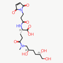 CN(C[C@H](O)CC[C@H](O)CO)C(=O)CC[C@H](NC(=O)CCN1C(=O)C=CC1=O)C(=O)O